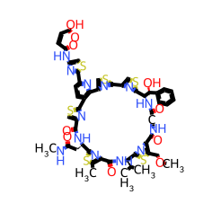 CNC(=O)C[C@@H]1NC(=O)c2csc(n2)-c2ccc(-c3nc(NC(=O)/C=C\C(=O)O)cs3)nc2-c2csc(n2)-c2csc(n2)[C@H]([C@@H](O)c2ccccc2)NC(=O)CNC(=O)c2nc(sc2COC)[C@@H](C(C)C)NC(=O)c2nc1sc2C